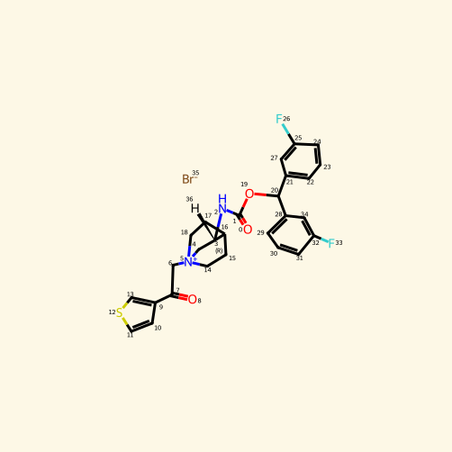 O=C(N[C@H]1C[N+]2(CC(=O)c3ccsc3)CCC1CC2)OC(c1cccc(F)c1)c1cccc(F)c1.[Br-]